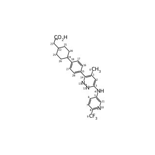 Cc1cc(Nc2ccc(C(F)(F)F)nc2)nnc1-c1ccc(C2CCC(CC(=O)O)CC2)cc1